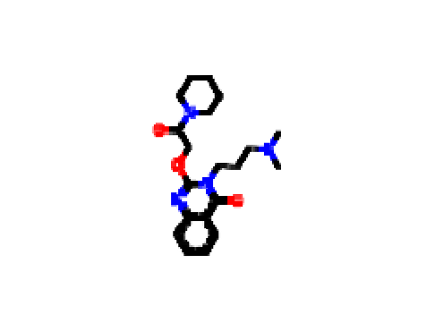 CN(C)CCCn1c(OCC(=O)N2CCCCC2)nc2ccccc2c1=O